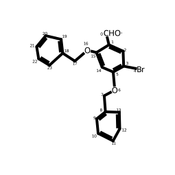 O=[C]c1cc(Br)c(OCc2ccccc2)cc1OCc1ccccc1